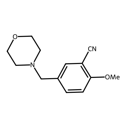 COc1ccc(CN2CCOCC2)cc1C#N